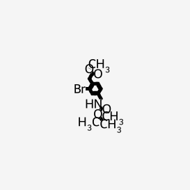 COC(=O)Cc1ccc(CNC(=O)OC(C)(C)C)cc1Br